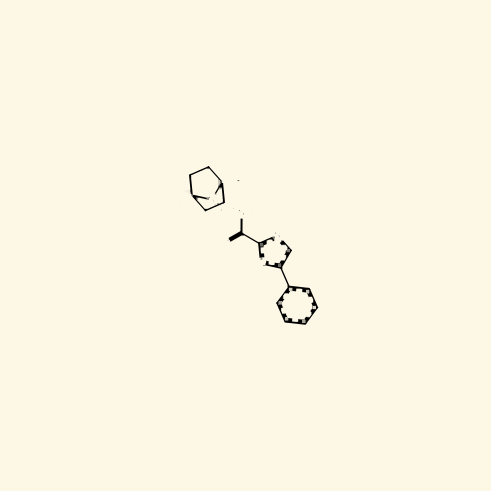 O=C(N[C@@H]1C[C@H]2CC[C@@H]1N2)c1ncc(-c2ccccc2)s1